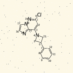 Clc1cc(N2CC(c3ccccc3)C2)c2nccn2n1